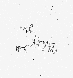 CCNC(=O)CCNC(=O)[C@H](CCCNC(N)=O)NC(=O)C1(C(=O)O)CCC1